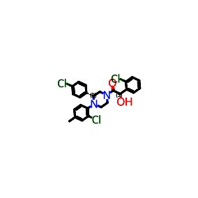 Cc1ccc(N2CCN(C(=O)[C@@H](O)c3ccccc3Cl)C[C@H]2c2ccc(Cl)cc2)c(Cl)c1